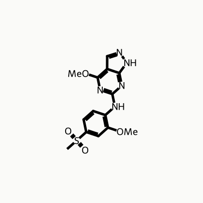 COc1cc(S(C)(=O)=O)ccc1Nc1nc(OC)c2cn[nH]c2n1